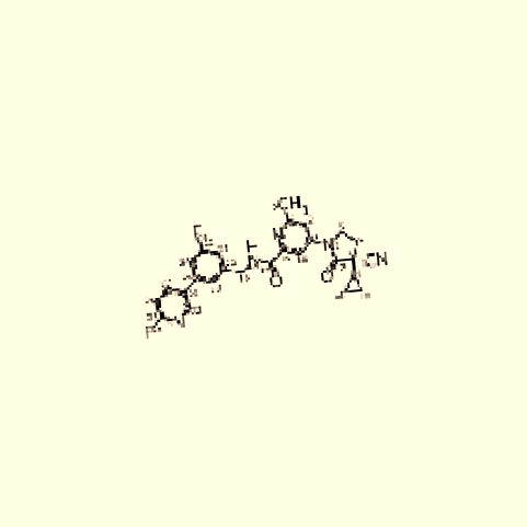 Cc1cc(N2CC[C@@](C#N)(C3CC3)C2=O)cc(C(=O)NCc2cc(F)cc(-c3ccc(F)nc3)c2)n1